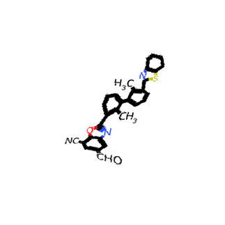 Cc1c(-c2nc3cc(C=O)cc(C#N)c3o2)cccc1-c1cccc(-c2nc3c(s2)CCCC3)c1C